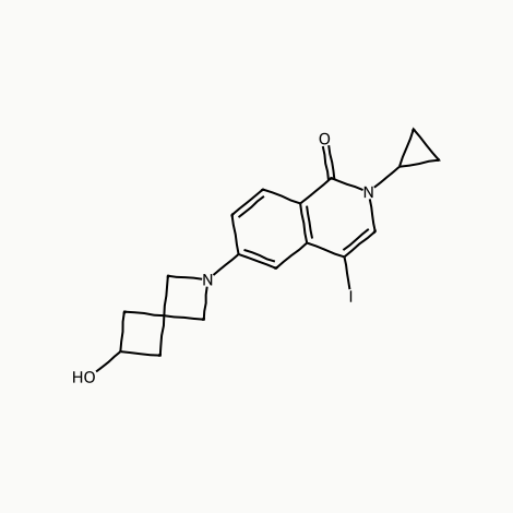 O=c1c2ccc(N3CC4(CC(O)C4)C3)cc2c(I)cn1C1CC1